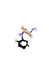 Cc1ccc(F)c(NS(N)(=O)=O)c1